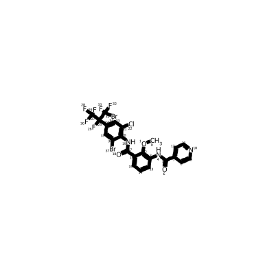 COc1c(NC(=O)c2ccncc2)cccc1C(=O)Nc1c(Cl)cc(C(F)(C(F)(F)F)C(F)(F)Br)cc1Br